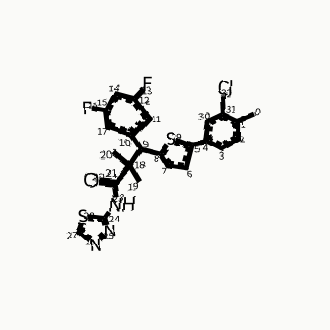 Cc1ccc(-c2ccc(C(c3cc(F)cc(F)c3)C(C)(C)C(=O)Nc3nncs3)s2)cc1Cl